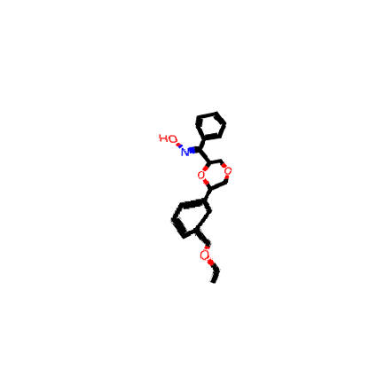 CCOCC1C=CC=C(C2COCC(C(=NO)c3ccccc3)O2)C1